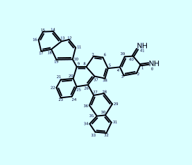 N=C1C=CC(c2ccc3c(-c4ccc5ccccc5c4)c4ccccc4c(-c4ccc5ccccc5c4)c3c2)=CC1=N